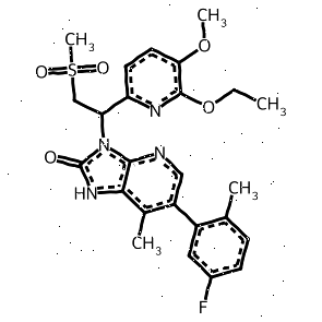 CCOc1nc(C(CS(C)(=O)=O)n2c(=O)[nH]c3c(C)c(-c4cc(F)ccc4C)cnc32)ccc1OC